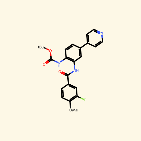 COc1ccc(C(=O)Nc2cc(-c3ccncc3)ccc2NC(=O)OC(C)(C)C)cc1F